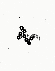 CC(C)(C)c1ccc(-n2c3ccccc3c3ccc(-c4ccc(N(c5cccc6c7c(sc56)C=CCC=C7)c5cccc6c5sc5ccccc56)cc4)cc32)cc1